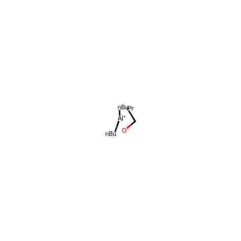 CC(C)C[O-].CCC[CH2][Al+][CH2]CCC